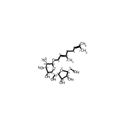 CC(C)=CCC/C(C)=C/CO[C@H]1O[C@H](C(O)[C@@H]2O[C@H](CO)[C@@H](O)[C@@H]2O)[C@@H](O)[C@H](O)[C@H]1O